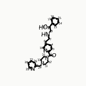 O=C(c1ccc(CCNC[C@H](O)c2ccccc2)cn1)N1CCN(Cc2ccccn2)CC1